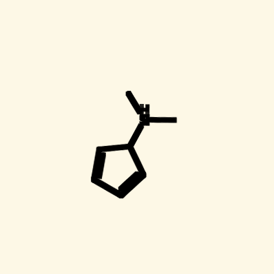 C[SiH](C)C1C=CC=C1